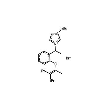 CCCCn1cc[n+](C(C)c2ccccc2OC(C)=C(C(C)C)C(C)C)c1.[Br-]